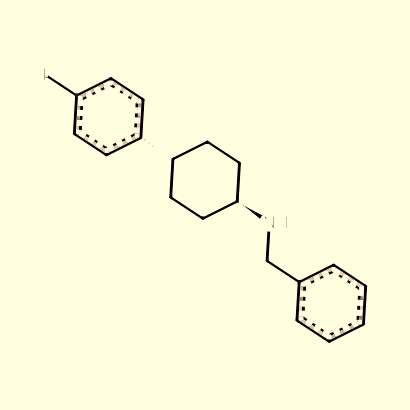 Ic1ccc([C@H]2CC[C@H](NCc3ccccc3)CC2)cc1